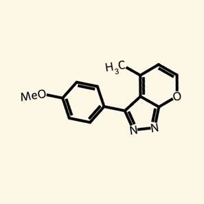 COc1ccc(-c2nnc3occc(C)c2-3)cc1